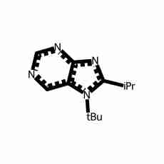 CC(C)c1nc2ncncc2n1C(C)(C)C